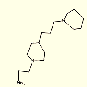 NCCN1CCC(CCCN2CCCCC2)CC1